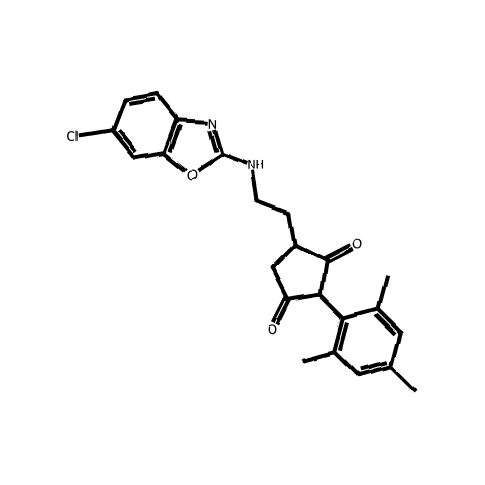 Cc1cc(C)c(C2C(=O)CC(CCNc3nc4ccc(Cl)cc4o3)C2=O)c(C)c1